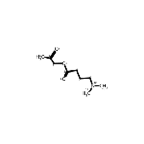 CC(=O)COC(=O)CCCN(C)C